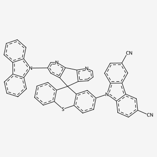 N#Cc1ccc2c(c1)c1cc(C#N)ccc1n2-c1ccc2c(c1)C1(c3ccccc3S2)c2cccnc2-c2ncc(-n3c4ccccc4c4ccccc43)cc21